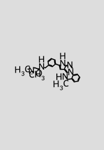 CC(Nc1ncnc2[nH]c(-c3cccc(CNC(=O)CN(C)C)c3)cc12)c1ccccc1